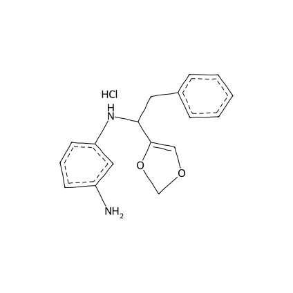 Cl.Nc1cccc(NC(Cc2ccccc2)C2=COCO2)c1